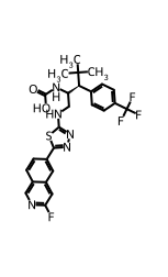 CC(C)(C)[C@@H](c1ccc(C(F)(F)F)cc1)C(CNc1nnc(-c2ccc3cnc(F)cc3c2)s1)NC(=O)O